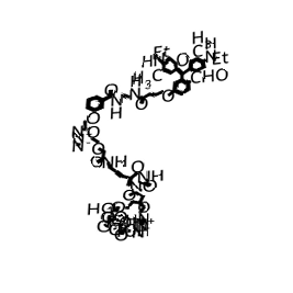 CCNC1=CC(=O)/C(=C(\c2ccc(NCC)c(C)c2)c2cc(OCCCC(=O)NCCNC(=O)c3cccc(OCC(N=[N+]=[N-])OCCOCC(=O)NCC#Cc4cn(C5CC(OCN=[N+]=[N-])C(COP(=O)(O)OP(=O)(O)OP(=O)(O)O)O5)c(=O)[nH]c4=O)c3)ccc2C=O)C=C1C